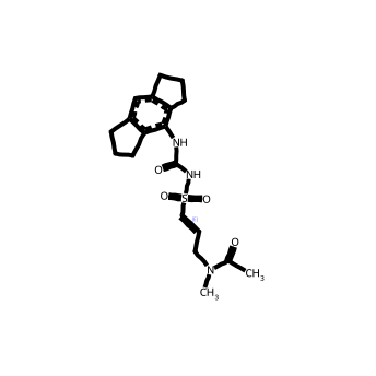 CC(=O)N(C)C/C=C/S(=O)(=O)NC(=O)Nc1c2c(cc3c1CCC3)CCC2